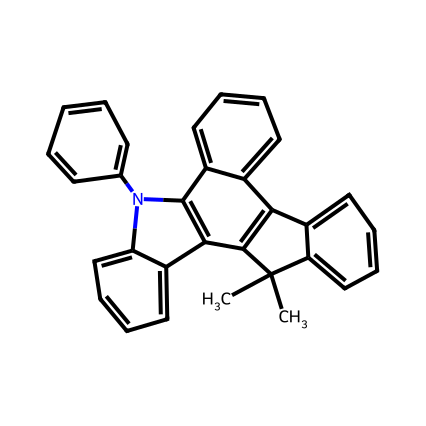 CC1(C)c2ccccc2-c2c1c1c3ccccc3n(-c3ccccc3)c1c1ccccc21